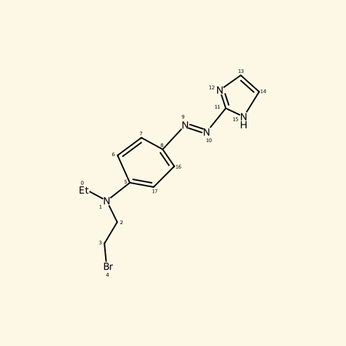 CCN(CCBr)c1ccc(N=Nc2ncc[nH]2)cc1